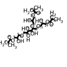 C=C(C)C(=O)OCC(O)COCC(O)C(O)C(O)C(COCC(O)COC(=O)C(=C)C)OCC(O)COC(=O)C(=C)C